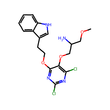 COCC(N)COc1c(Cl)nc(Cl)nc1OCCc1c[nH]c2ccccc12